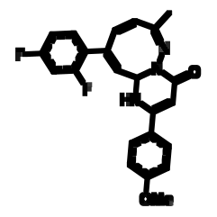 COc1ccc(C2=CC(=O)N3N=C(C)C=CC(c4ccc(F)cc4F)=CC3N2)cc1